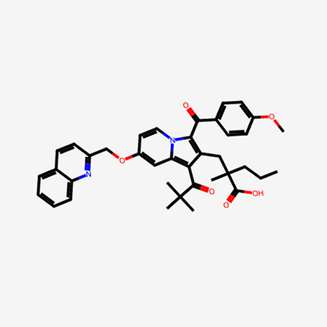 CCCC(C)(Cc1c(C(=O)C(C)(C)C)c2cc(OCc3ccc4ccccc4n3)ccn2c1C(=O)c1ccc(OC)cc1)C(=O)O